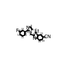 CCn1c(Cn2ccnc2-c2cccc(F)c2)nc2ccc(C#N)cc21